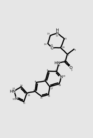 CC(C(=O)Nc1cc2cc(-c3cn[nH]c3)ccc2cn1)C1CNCCO1